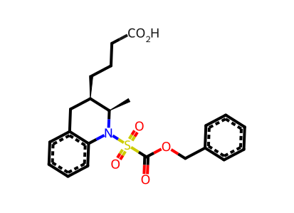 C[C@@H]1[C@H](CCCC(=O)O)Cc2ccccc2N1S(=O)(=O)C(=O)OCc1ccccc1